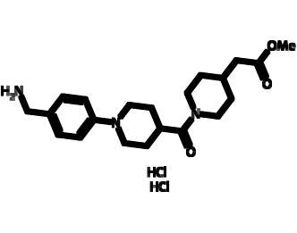 COC(=O)CC1CCN(C(=O)C2CCN(c3ccc(CN)cc3)CC2)CC1.Cl.Cl